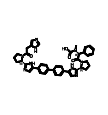 CN(C(=O)O)[C@@H](C(=O)N1CCC[C@H]1c1ncc(-c2ccc(-c3ccc(-c4cnc([C@@H]5CCCN5C(=O)Cc5cnc[nH]5)[nH]4)cc3)cc2)[nH]1)c1ccccc1